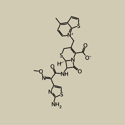 CO/N=C(\C(=O)NC1C(=O)N2C(C(=O)[O-])=C(C[n+]3ccc(C)c4ccsc43)CS[C@H]12)c1csc(N)n1